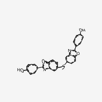 Oc1ccc(-c2nc3cc(Sc4ccc5oc(-c6ccc(O)cc6)nc5c4)ccc3o2)cc1